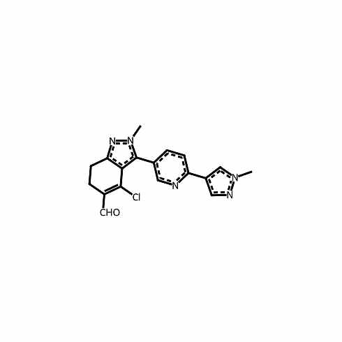 Cn1cc(-c2ccc(-c3c4c(nn3C)CCC(C=O)=C4Cl)cn2)cn1